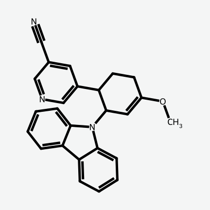 COC1=CC(n2c3ccccc3c3ccccc32)C(c2cncc(C#N)c2)CC1